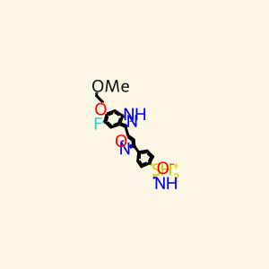 COCCOc1cc2[nH]nc(-c3cc(-c4ccc([SH2+]([O-])C=N)cc4)no3)c2cc1F